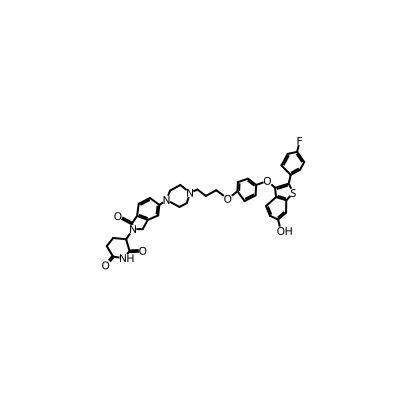 O=C1CCC(N2Cc3cc(N4CCN(CCCOc5ccc(Oc6c(-c7ccc(F)cc7)sc7cc(O)ccc67)cc5)CC4)ccc3C2=O)C(=O)N1